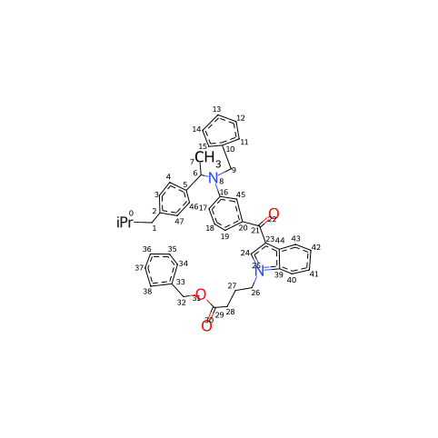 CC(C)Cc1ccc(C(C)N(Cc2ccccc2)c2cccc(C(=O)c3cn(CCCC(=O)OCc4ccccc4)c4ccccc34)c2)cc1